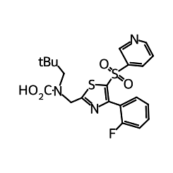 CC(C)(C)CN(Cc1nc(-c2ccccc2F)c(S(=O)(=O)c2cccnc2)s1)C(=O)O